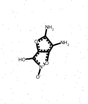 Nc1oc2c(O)[n+]([O-])oc2c1N